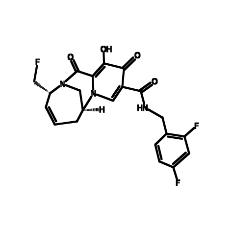 O=C(NCc1ccc(F)cc1F)c1cn2c(c(O)c1=O)C(=O)N1C[C@@H]2CC=C[C@@H]1CF